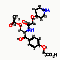 O=C(O)COc1ccc(C(=O)[C@H](COC(=O)C(F)(F)F)NC(=O)COC2CCNCC2)cc1